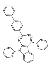 C=C(c1ccccc1)c1c(/N=C(\N)c2ccc(-c3ccccc3)cc2)n(-c2ccccc2)c2ccccc12